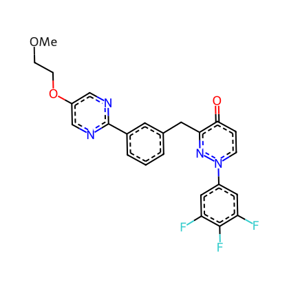 COCCOc1cnc(-c2cccc(Cc3nn(-c4cc(F)c(F)c(F)c4)ccc3=O)c2)nc1